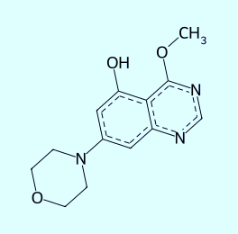 COc1ncnc2cc(N3CCOCC3)cc(O)c12